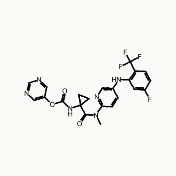 CN(C(=O)C1(NC(=O)Oc2cncnc2)CC1)c1ccc(Nc2cc(F)ccc2C(F)(F)F)cn1